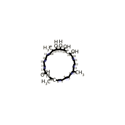 CC1=C\C=C\C=C/CC(C)NC(=O)/C=C/C=C/C=C/C(C)C(O)C(O)C(O)CC(O)/C=C\C=C\1